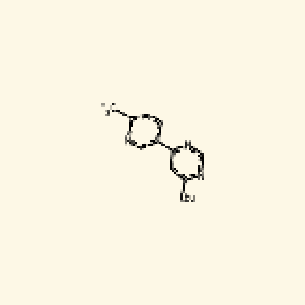 CC(C)(C)c1cc(-c2ccc(C(F)(F)F)nc2)ncn1